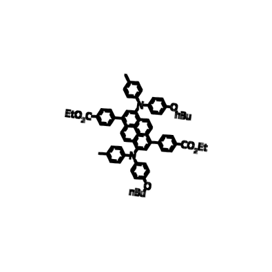 CCCCOc1ccc(N(c2ccc(C)cc2)c2cc(-c3ccc(C(=O)OCC)cc3)c3ccc4c(N(c5ccc(C)cc5)c5ccc(OCCCC)cc5)cc(-c5ccc(C(=O)OCC)cc5)c5ccc2c3c54)cc1